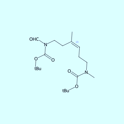 C/C(=C/CCN(C)C(=O)OC(C)(C)C)CCN(C=O)C(=O)OC(C)(C)C